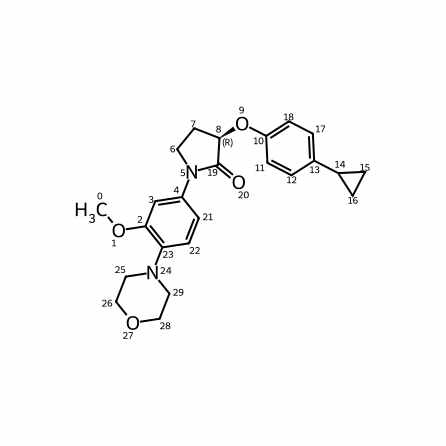 COc1cc(N2CC[C@@H](Oc3ccc(C4CC4)cc3)C2=O)ccc1N1CCOCC1